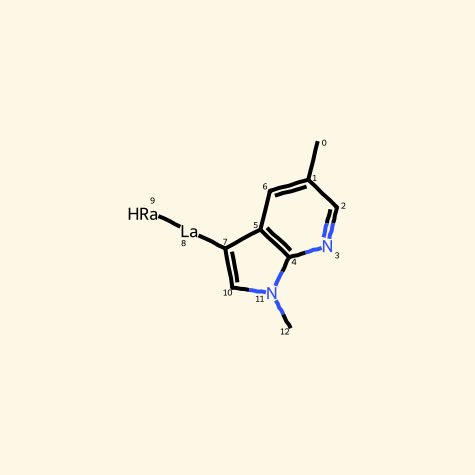 Cc1cnc2c(c1)[c]([La][RaH])cn2C